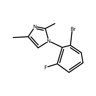 Cc1cn(-c2c(F)cccc2Br)c(C)n1